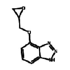 c1cc(OCC2CO2)c2nn[nH]c2c1